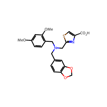 COc1ccc(CN(Cc2ccc3c(c2)OCO3)Cc2nc(C(=O)O)cs2)c(OC)c1